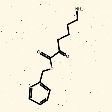 NCCCCC(=O)C(=O)OCc1ccccc1